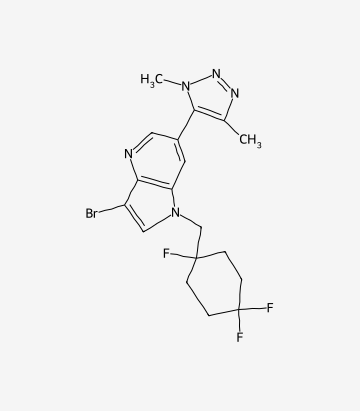 Cc1nnn(C)c1-c1cnc2c(Br)cn(CC3(F)CCC(F)(F)CC3)c2c1